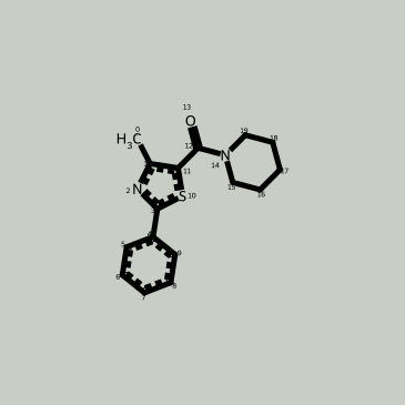 Cc1nc(-c2ccccc2)sc1C(=O)N1CCCCC1